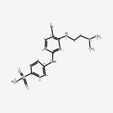 CN(C)CCNc1nc(Nc2ccc(S(N)(=O)=O)nc2)ncc1Br